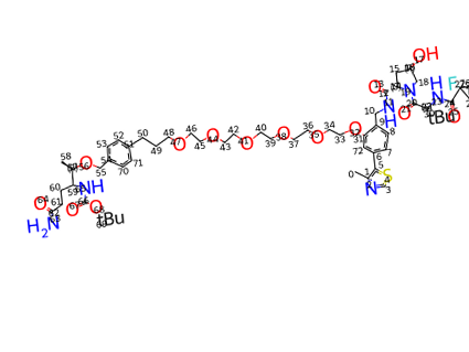 Cc1ncsc1-c1ccc(CNC(=O)[C@@H]2C[C@@H](O)CN2C(=O)[C@@H](NC(=O)C2(F)CC2)C(C)(C)C)c(OCCOCCOCCOCCOCCOCCCc2ccc(CO[C@H](C)C(CCC(N)=O)NC(=O)OC(C)(C)C)cc2)c1